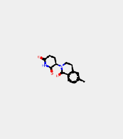 Cc1ccc2c(c1)CCN(C1CCC(=O)NC1=O)C2=O